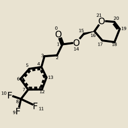 O=C(CCc1ccc(C(F)(F)F)cc1)OC[C@@H]1CCC=CO1